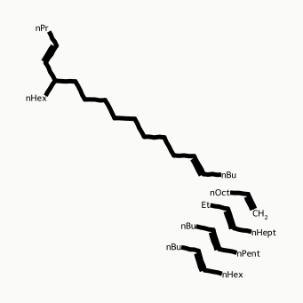 C=CCCCCCCCC.CCC=CCCCCCCC.CCCC=CC(CCCCCC)CCCCCCCCC=CCCCC.CCCCC=CCCCCC.CCCCC=CCCCCCC